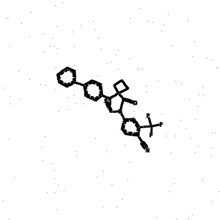 N#Cc1ccc(N(C=S)C(=O)C2(Nc3ccc(-c4ccccc4)cc3)CCC2)cc1C(F)(F)F